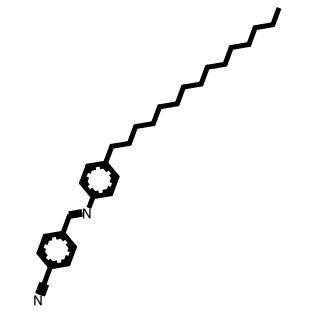 CCCCCCCCCCCCCCCc1ccc(/N=C/c2ccc(C#N)cc2)cc1